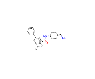 CCC1C2CC3(C(=O)N[C@H]4CC[C@H](CN)CC4)CC1CC(c1ccccc1)(C2)C3